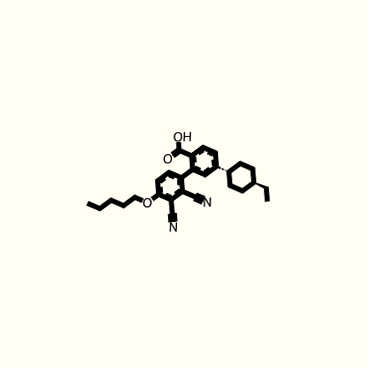 CCCCCOc1ccc(-c2cc([C@H]3CC[C@H](CC)CC3)ccc2C(=O)O)c(C#N)c1C#N